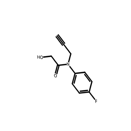 C#CCN(C(=O)CO)c1ccc(F)cc1